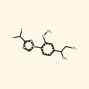 CCC(C)c1ccc(-n2cnc(C(F)F)n2)c(OC)c1